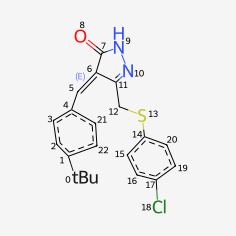 CC(C)(C)c1ccc(/C=C2/C(=O)NN=C2CSc2ccc(Cl)cc2)cc1